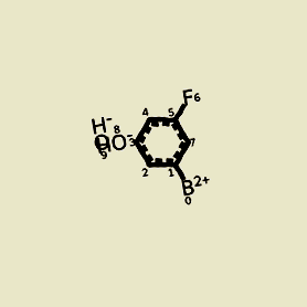 [B+2]c1cccc(F)c1.[OH-].[OH-]